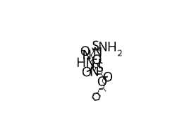 CON=C(C(=O)NC1C(=O)N2C=C(C(=O)OCC(C)=Cc3ccccc3)CS[C@H]12)c1csc(N)n1